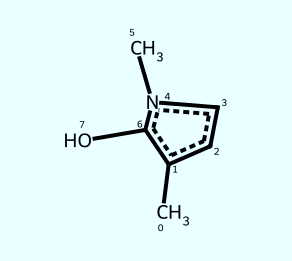 Cc1ccn(C)c1O